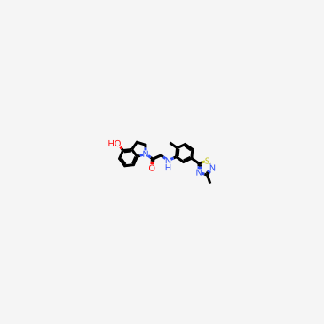 Cc1nsc(-c2ccc(C)c(NCC(=O)N3CCc4c(O)cccc43)c2)n1